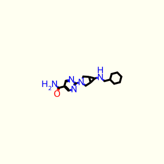 NC(=O)c1cnc(N2CC3C(C2)C3NCC2CCCCC2)nc1